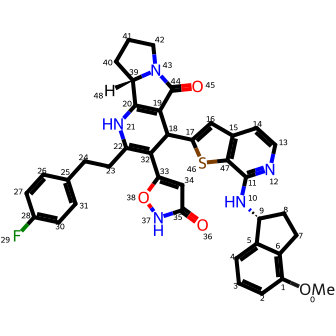 COc1cccc2c1CC[C@H]2Nc1nccc2cc(C3C4=C(NC(CCc5ccc(F)cc5)=C3c3cc(=O)[nH]o3)[C@@H]3CCCN3C4=O)sc12